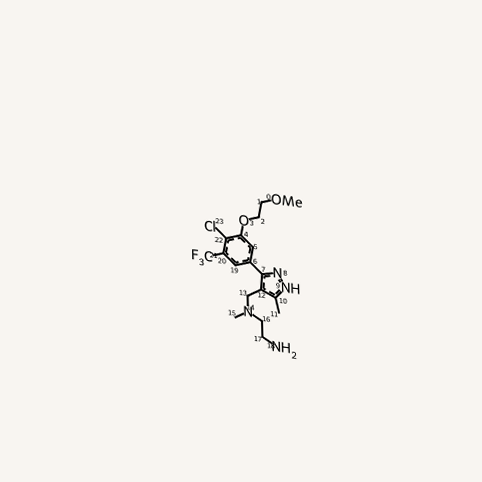 COCCOc1cc(-c2n[nH]c(C)c2CN(C)CCN)cc(C(F)(F)F)c1Cl